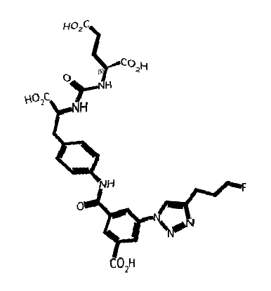 O=C(O)CC[C@H](NC(=O)NC(Cc1ccc(NC(=O)c2cc(C(=O)O)cc(-n3cc(CCCF)nn3)c2)cc1)C(=O)O)C(=O)O